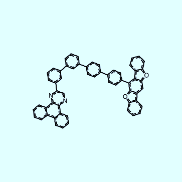 c1cc(-c2ccc(-c3ccc(-c4c5oc6ccccc6c5cc5oc6ccccc6c45)cc3)cc2)cc(-c2cccc(-c3cnc4c5ccccc5c5ccccc5c4n3)c2)c1